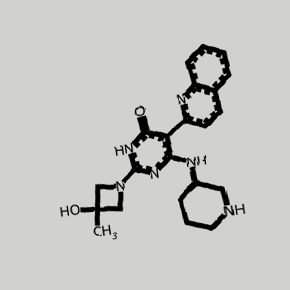 CC1(O)CN(c2nc(NC3CCCNC3)c(-c3ccc4ccccc4n3)c(=O)[nH]2)C1